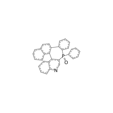 O=P1(c2ccccc2)c2ccccc2-c2ccc3ccccc3c2-c2c1cnc1ccccc21